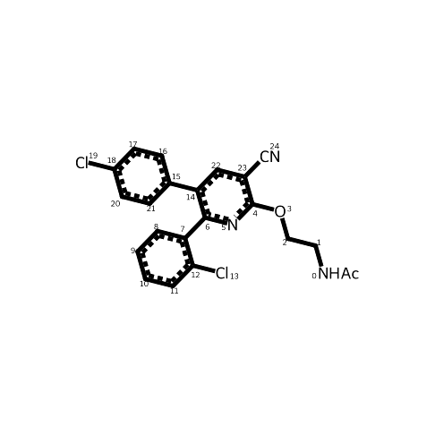 CC(=O)NCCOc1nc(-c2ccccc2Cl)c(-c2ccc(Cl)cc2)cc1C#N